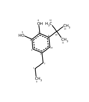 CCCc1cc(O)c(O)c(C(C)(C)C)c1